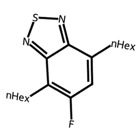 CCCCCCc1cc(F)c(CCCCCC)c2nsnc12